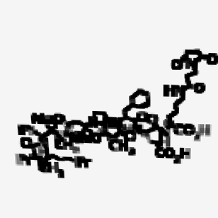 CC[C@H](C)[C@@H]([C@@H](CC(=O)N1CCC[C@H]1[C@H](OC)[C@@H](C)C(=O)NC(Cc1ccccc1)C(=O)N[C@@H](CCC(=O)O)C(=O)N[C@@H](CCCCNC(=O)CCN1C(=O)C=CC1=O)C(=O)O)OC)N(C)C(=O)[C@@H](NC(=O)[C@H](C(C)C)N(C)CCCC(C)C)C(C)C